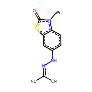 CC(C)n1c(=O)sc2cc(NN=C(C#N)C#N)ccc21